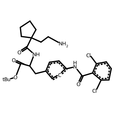 CC(C)(C)OC(=O)C(Cc1ccc(NC(=O)c2c(Cl)cccc2Cl)cc1)NC(=O)C1(CCN)CCCC1